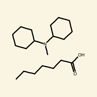 CCCCCCC(=O)O.CN(C1CCCCC1)C1CCCCC1